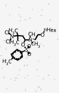 CCCCCCOCC[N+](C)(C)C(CC(C)(C)N(Cl)Cl)OS(=O)(=O)c1ccc(C)cc1